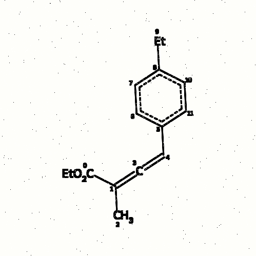 CCOC(=O)C(C)=C=Cc1ccc(CC)cc1